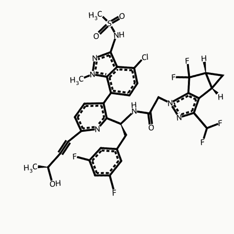 C[C@H](O)C#Cc1ccc(-c2ccc(Cl)c3c(NS(C)(=O)=O)nn(C)c23)c([C@H](Cc2cc(F)cc(F)c2)NC(=O)Cn2nc(C(F)F)c3c2C(F)(F)[C@@H]2C[C@H]32)n1